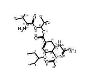 CCC(CC)O[C@@H]1C=C(C(=O)OC(OC(=O)[C@H](N)C(C)C)C(C)C)C[C@H](NC(=N)N)C1NC(C)=O